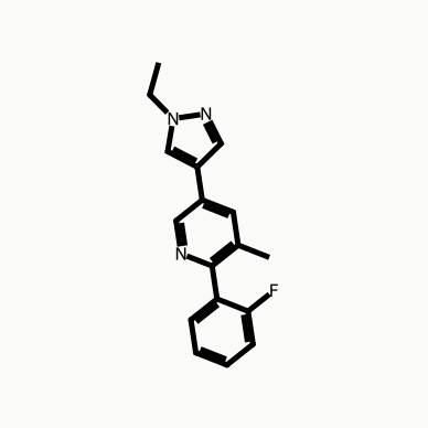 CCn1cc(-c2cnc(-c3ccccc3F)c(C)c2)cn1